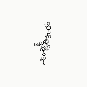 C=CCC(C)(F)O[C@H]1C[C@@H](C(=O)NNC(=O)[C@H]2CC[Si@H](NC(=O)COc3ccc(Cl)c(F)c3)CN2C(=O)OC(C)(C)C)C1